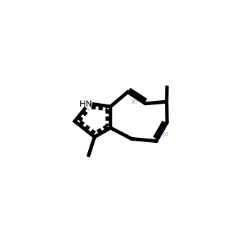 Cc1c[nH]c2c1C/C=C\C(C)/C=C/2